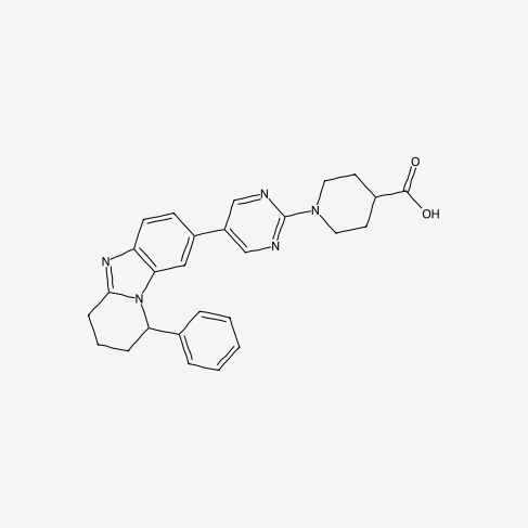 O=C(O)C1CCN(c2ncc(-c3ccc4nc5n(c4c3)C(c3ccccc3)CCC5)cn2)CC1